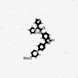 COC1CCN(c2ccc(-c3n[nH]c4ccc(NC(=O)C(c5ccsc5)N5CCCC5)cc34)cc2)CC1